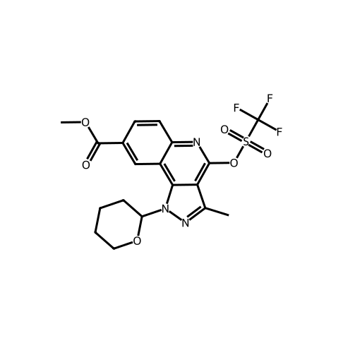 COC(=O)c1ccc2nc(OS(=O)(=O)C(F)(F)F)c3c(C)nn(C4CCCCO4)c3c2c1